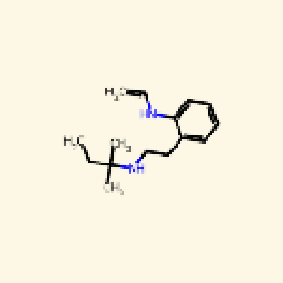 C=CNc1ccccc1CCNC(C)(C)CC